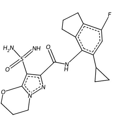 N=S(N)(=O)c1c(C(=O)Nc2c(C3CC3)cc(F)c3c2CCC3)nn2c1OCCC2